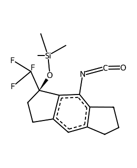 C[Si](C)(C)O[C@]1(C(F)(F)F)CCc2cc3c(c(N=C=O)c21)CCC3